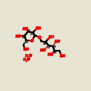 O.O.OC[C@@H](O)[C@@H](O)[C@H](O)[C@H](O)COC1O[C@H](CO)[C@@H](O)[C@H](O)[C@H]1O